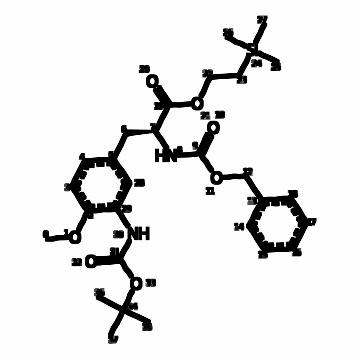 COc1ccc(C[C@H](NC(=O)OCc2ccccc2)C(=O)OCC[Si](C)(C)C)cc1NC(=O)OC(C)(C)C